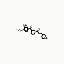 Nc1cc(C(=O)C2CCCN(C(=O)CCC3CCNCC3)C2)ccc1C(=O)O